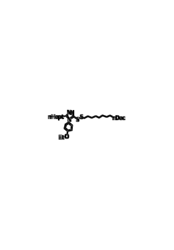 CCCCCCCCCCCCCCCCCCSSc1nnc(CCCCCCC)n1-c1ccc(OCC)cc1